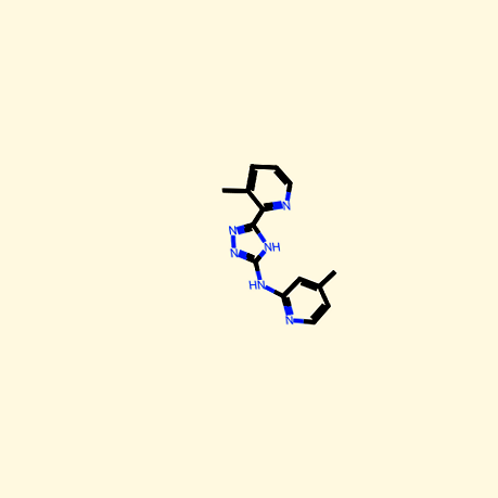 Cc1ccnc(Nc2nnc(-c3ncccc3C)[nH]2)c1